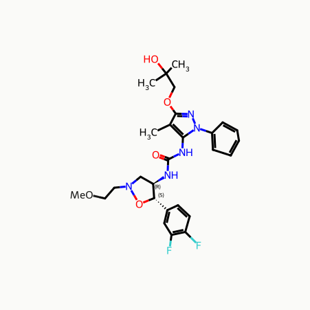 COCCN1C[C@@H](NC(=O)Nc2c(C)c(OCC(C)(C)O)nn2-c2ccccc2)[C@H](c2ccc(F)c(F)c2)O1